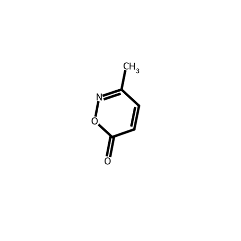 Cc1ccc(=O)on1